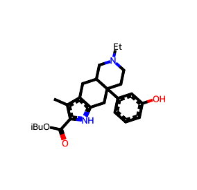 CCN1CCC2(c3cccc(O)c3)Cc3[nH]c(C(=O)OCC(C)C)c(C)c3CC2C1